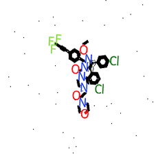 CCOc1cc(C#CC(F)(F)F)ccc1C1=N[C@@H](c2ccc(Cl)cc2)[C@@H](c2ccc(Cl)cc2)N1C(=O)N1CCN(CC(=O)N2CCOCC2)CC1